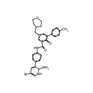 Cc1ccc(-c2cn(CC3CCOCC3)cc(C(=O)Nc3ccc(C4=CC(Br)=CNC4N)cc3)c2=O)cc1